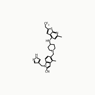 Cc1cc(NC2CCN(Cc3ccc4c(cc(C#N)n4Cc4cn[nH]c4)c3C)CC2)c2cc(CC(F)(F)F)sc2n1